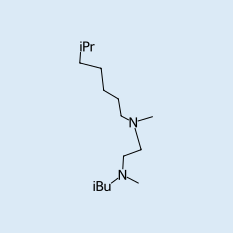 CCC(C)N(C)CCN(C)CCCCCC(C)C